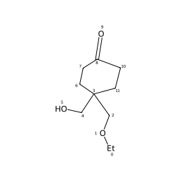 CCOCC1(CO)CCC(=O)CC1